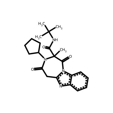 CC(C)(C)NC(=O)C1(C)C(=O)n2c(nc3ccccc32)CC(=O)N1C1CCCC1